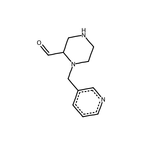 O=CC1CNCCN1Cc1cccnc1